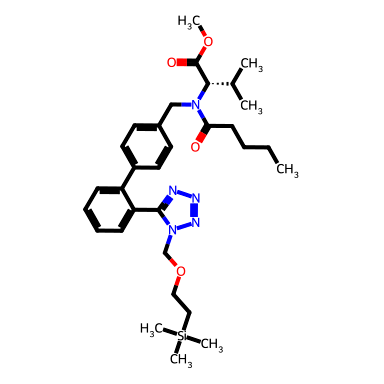 CCCCC(=O)N(Cc1ccc(-c2ccccc2-c2nnnn2COCC[Si](C)(C)C)cc1)[C@H](C(=O)OC)C(C)C